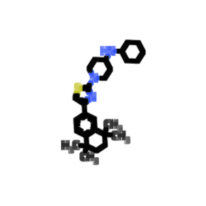 CC1(C)CCC(C)(C)c2cc(-c3csc(N4CCC(NC5CCCCC5)CC4)n3)ccc21